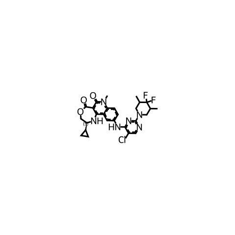 CC1CN(c2ncc(Cl)c(Nc3ccc4c(c3)c3c(c(=O)n4C)C(=O)OC[C@H](C4CC4)N3)n2)CC(C)C1(F)F